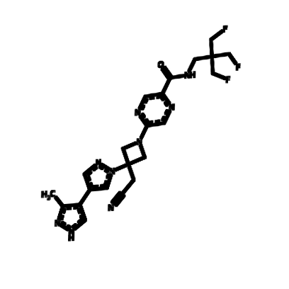 Cc1n[nH]cc1-c1cnn(C2(CC#N)CN(c3cnc(C(=O)NCC(CF)(CF)CF)cn3)C2)c1